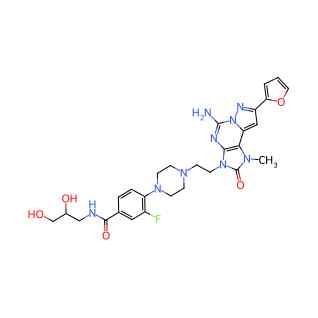 Cn1c(=O)n(CCN2CCN(c3ccc(C(=O)NCC(O)CO)cc3F)CC2)c2nc(N)n3nc(-c4ccco4)cc3c21